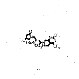 CC(C)(C)N(C(=O)O)[C@@H](CC(=O)N1CCc2c(nc(C(F)(F)F)nc2C(F)(F)F)C1)CN1CC(C(F)(F)F)CC1=O